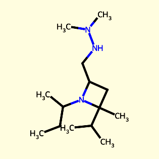 CCC(C)N1C(CNN(C)C)CC1(C)C(C)C